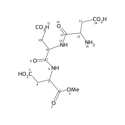 COC(=O)C(CC(=O)O)NC(=O)C(CC(=O)O)NC(=O)C(N)CC(=O)O